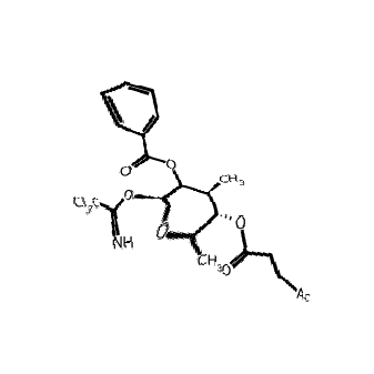 CC(=O)CCC(=O)O[C@@H]1C(C)O[C@@H](OC(=N)C(Cl)(Cl)Cl)C(OC(=O)c2ccccc2)[C@H]1C